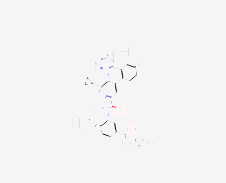 COC(=O)c1ccc(N)c(NC(=O)c2cc(-c3ccc(F)cc3-c3nncn3C)cc(C3CC3)n2)c1